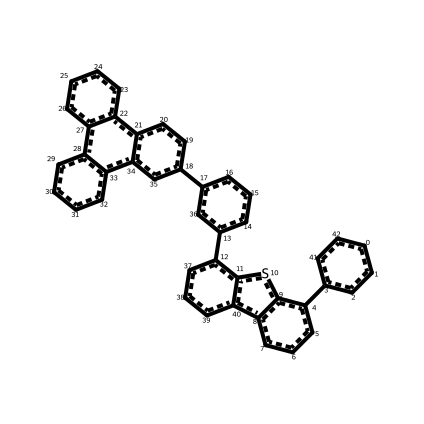 c1ccc(-c2cccc3c2sc2c(-c4cccc(-c5ccc6c7ccccc7c7ccccc7c6c5)c4)cccc23)cc1